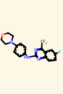 Fc1ccc2nc(Nc3ccc(N4CCOCC4)cc3)nc(C(F)(F)F)c2c1